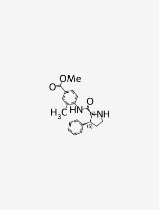 COC(=O)c1ccc(NC(=O)[C@H]2NCC[C@H]2c2ccccc2)c(C)c1